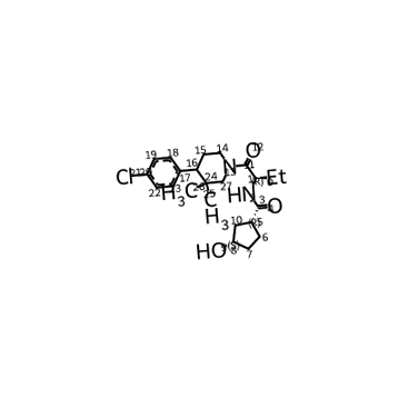 CC[C@@H](NC(=O)[C@@H]1CC[C@H](O)C1)C(=O)N1CCC(c2ccc(Cl)cc2)C(C)(C)C1